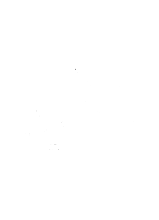 O=S(=O)(Oc1ccnc2ccc(F)cc12)C(F)(F)F